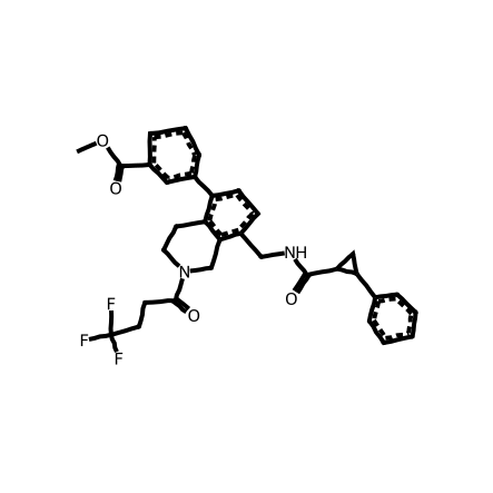 COC(=O)c1cccc(-c2ccc(CNC(=O)C3CC3c3ccccc3)c3c2CCN(C(=O)CCC(F)(F)F)C3)c1